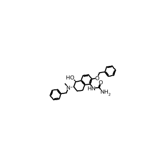 CN(Cc1ccccc1)[C@H]1CCc2c(ccc(OCc3ccccc3)c2NC(N)=O)[C@@H]1O